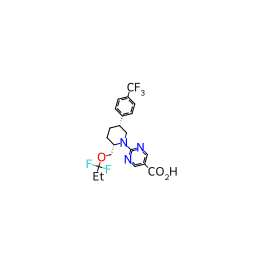 CCC(F)(F)OC[C@@H]1CC[C@H](c2ccc(C(F)(F)F)cc2)CN1c1ncc(C(=O)O)cn1